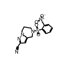 N#Cc1cc2n(n1)CCCN(S(=O)(=O)c1ccccc1[N+](=O)[O-])C2